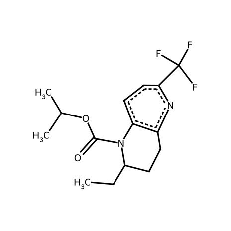 CCC1CCc2nc(C(F)(F)F)ccc2N1C(=O)OC(C)C